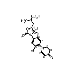 CN(C[C@@H]1OC(=O)N2c3cc(F)c(N4C=CC(=O)CC4)cc3C[C@@H]12)C(=O)O